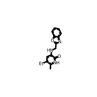 CCc1cc(NCc2nc3ccccc3o2)c(=O)[nH]c1C